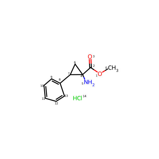 COC(=O)C1(N)CC1c1ccccc1.Cl